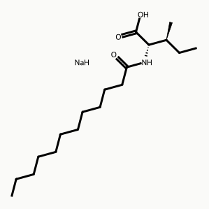 CCCCCCCCCCCC(=O)N[C@H](C(=O)O)[C@@H](C)CC.[NaH]